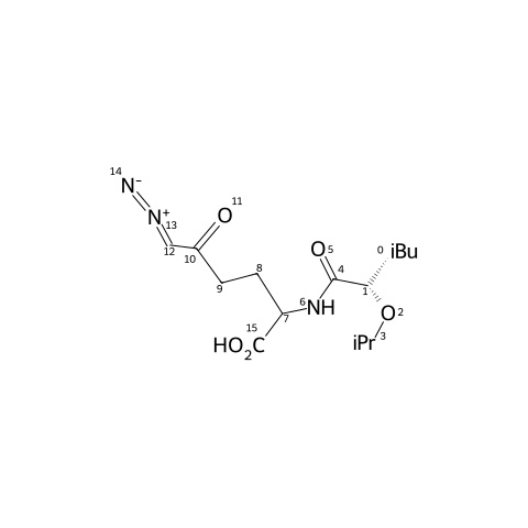 CC[C@@H](C)[C@H](OC(C)C)C(=O)NC(CCC(=O)C=[N+]=[N-])C(=O)O